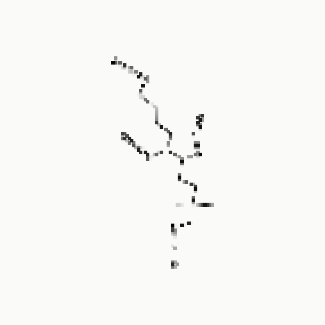 CC(C)(CCC(N=C=O)C(CCCCN=C=O)N=C=O)CN=C=O